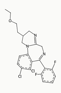 CCOCCC1CN=C2CN=C(c3c(F)cccc3F)c3c(ccc(Cl)c3Cl)N2C1